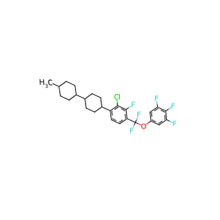 CC1CCC(C2CCC(c3ccc(C(F)(F)Oc4cc(F)c(F)c(F)c4)c(F)c3Cl)CC2)CC1